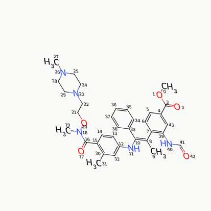 COC(=O)c1ccc(/C(C)=C(/Nc2ccc(C(=O)N(C)OCCN3CCN(C)CC3)c(C)c2)c2ccccc2)c(NC=O)c1